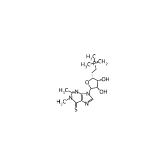 C=P(C)(C)CC[C@H]1OC(n2cnc3c(=S)n(C)c(C)nc32)[C@H](O)[C@@H]1O